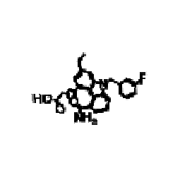 CCc1cc(OCC(=O)O)c2c3c(C(N)=O)cccc3n(Cc3cccc(F)c3)c2c1